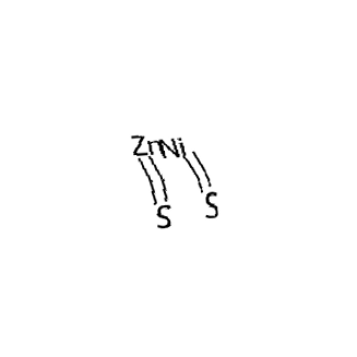 [S]=[Ni].[S]=[Zn]